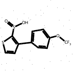 O=S(O)c1sccc1-c1ccc(OC(F)(F)F)cc1